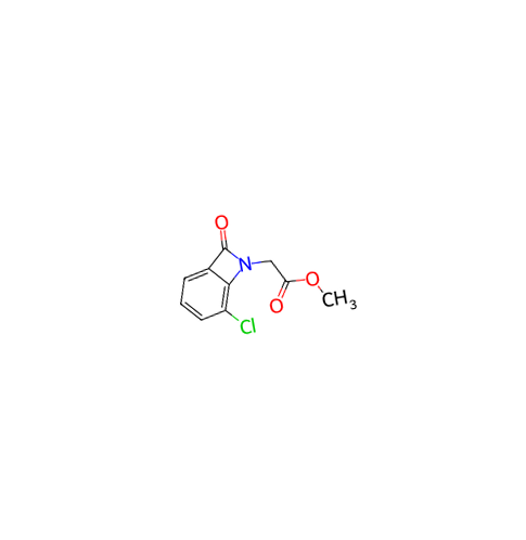 COC(=O)CN1C(=O)c2cccc(Cl)c21